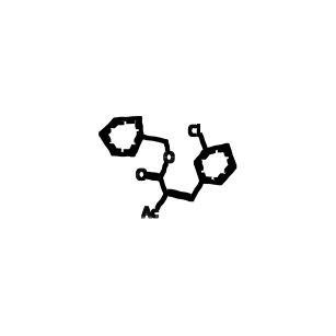 CC(=O)C(=Cc1cccc(Cl)c1)C(=O)OCc1ccccc1